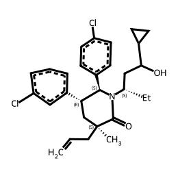 C=CC[C@@]1(C)C[C@H](c2cccc(Cl)c2)[C@@H](c2ccc(Cl)cc2)N([C@@H](CC)CC(O)C2CC2)C1=O